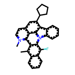 Cc1c2ccccc2c(F)c2c1c1c3c(cc[n+]1C)cc(C1CCCC1)c1c4ccccc4n2c13